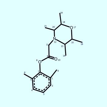 Cc1cccc(C)c1OC(=O)CN1C(C)C(C)OC(C)C1C